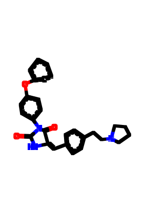 O=C1N/C(=C/c2ccc(CCN3CCCC3)cc2)C(=O)N1c1ccc(Oc2ccccc2)cc1